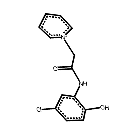 O=C(C[n+]1ccccc1)Nc1cc(Cl)ccc1O